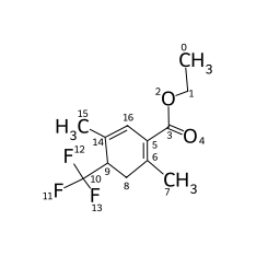 CCOC(=O)C1=C(C)CC(C(F)(F)F)C(C)=C1